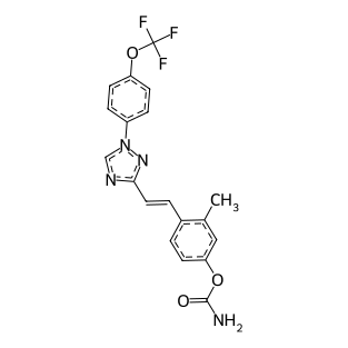 Cc1cc(OC(N)=O)ccc1C=Cc1ncn(-c2ccc(OC(F)(F)F)cc2)n1